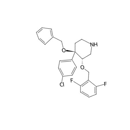 Fc1cccc(F)c1CO[C@H]1CNCC[C@@]1(OCc1ccccc1)c1ccc(Cl)cc1